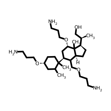 CC1C[C@H](OCCCN)CCC1(C)[C@H]1C[C@H](OCCCN)C2(C)[C@@H]([C@H](C)CO)CC[C@H]2C1COCCCN